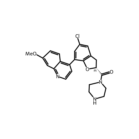 COc1ccc2c(-c3cc(Cl)cc4c3O[C@@H](C(=O)N3CCNCC3)C4)ccnc2c1